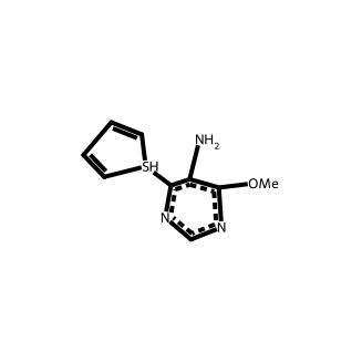 COc1ncnc([SH]2C=CC=C2)c1N